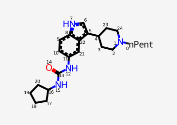 CCCCCN1CCC(c2c[nH]c3ccc(NC(=O)NC4CCCC4)cc23)CC1